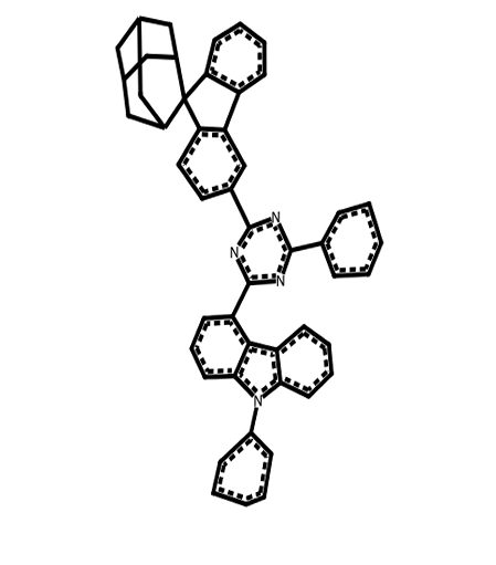 c1ccc(-c2nc(-c3ccc4c(c3)-c3ccccc3C43C4CC5CC(C4)CC3C5)nc(-c3cccc4c3c3ccccc3n4-c3ccccc3)n2)cc1